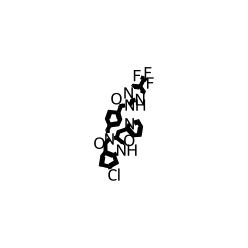 O=C(Nc1ncc(C(F)(F)F)cn1)c1ccc(CN2C(=O)c3ccc(Cl)cc3NC(=O)C2Cc2ccccn2)cc1